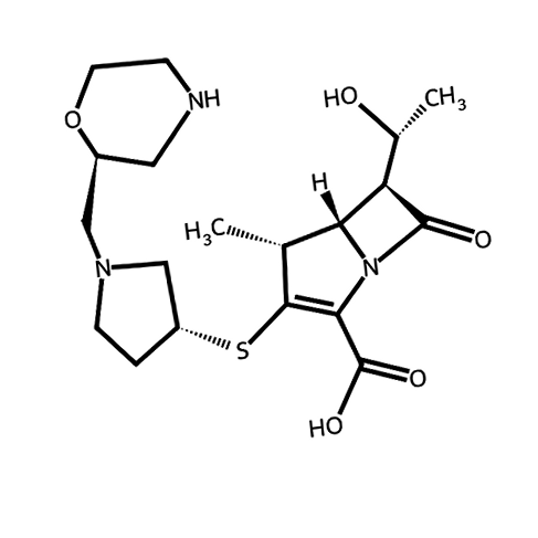 C[C@@H](O)[C@H]1C(=O)N2C(C(=O)O)=C(S[C@@H]3CCN(C[C@@H]4CNCCO4)C3)[C@H](C)[C@H]12